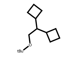 CC(C)(C)OCC([C]1CCC1)C1CCC1